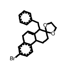 Brc1ccc2c(c1)CC=C1C2CCC2(OCCO2)C1Cc1ccccc1